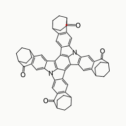 O=C1c2cc3c(cc2C2CCC1CC2)c1c2c4cc5c(cc4n4c6cc7c(cc6c(c6c8cc9c(cc8n3c16)C(=O)C1CCC9CC1)c24)C1CCC(CC1)C7=O)C(=O)C1CCC5CC1